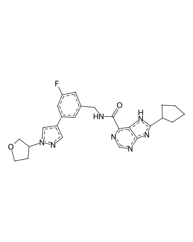 O=C(NCc1cc(F)cc(-c2cnn(C3CCOC3)c2)c1)c1ncnc2nc(C3CCCC3)[nH]c12